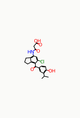 CC(C)c1cc(C(=O)c2c(Cl)cc(NC(=O)CC(=O)O)c3c2CCC3)ccc1O